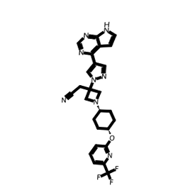 N#CCC1(n2cc(-c3ncnc4[nH]ccc34)cn2)CN([C@H]2CC[C@@H](Oc3cccc(C(F)(F)F)n3)CC2)C1